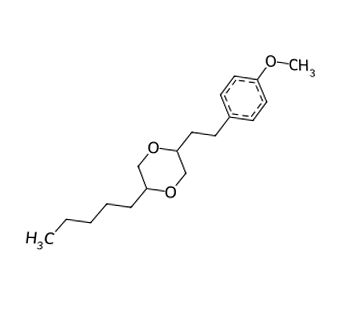 CCCCCC1COC(CCc2ccc(OC)cc2)CO1